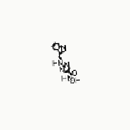 O=C(NO)c1cnc(NCCC2C=Nc3ccccc32)nc1